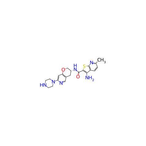 Cc1ccc2c(N)c(C(=O)N[C@H]3COc4cc(N5CCNCC5)ncc4C3)sc2n1